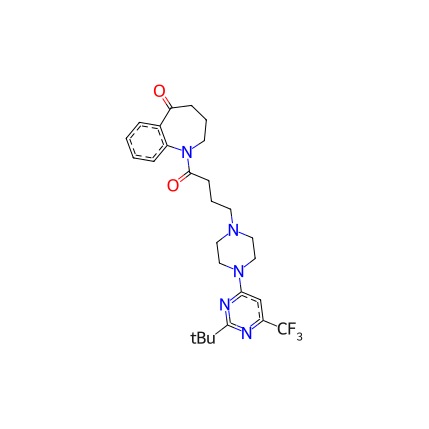 CC(C)(C)c1nc(N2CCN(CCCC(=O)N3CCCC(=O)c4ccccc43)CC2)cc(C(F)(F)F)n1